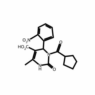 CC1=C(C(=O)O)C(c2ccccc2[N+](=O)[O-])N(C(=O)C2CCCC2)C(=O)N1